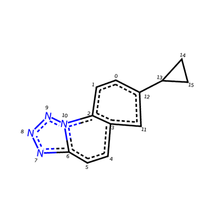 c1cc2c(ccc3nnnn32)cc1C1CC1